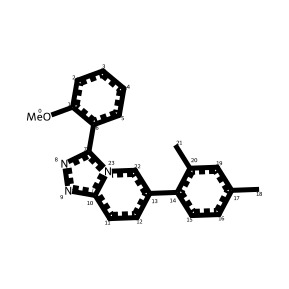 COc1ccccc1-c1nnc2ccc(-c3ccc(C)cc3C)cn12